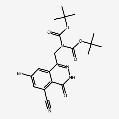 CC(C)(C)OC(=O)N(Cc1n[nH]c(=O)c2c(C#N)cc(Br)cc12)C(=O)OC(C)(C)C